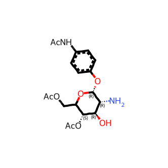 CC(=O)Nc1ccc(O[C@H]2OC(COC(C)=O)[C@@H](OC(C)=O)[C@H](O)[C@H]2N)cc1